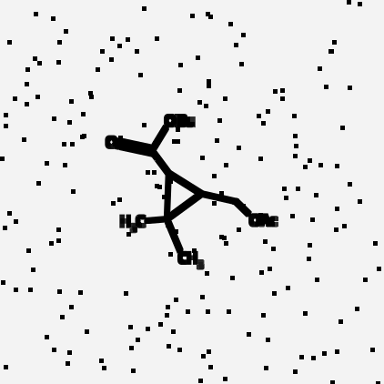 CC(=O)OCC1C(C(=O)OCC(C)C)C1(C)C